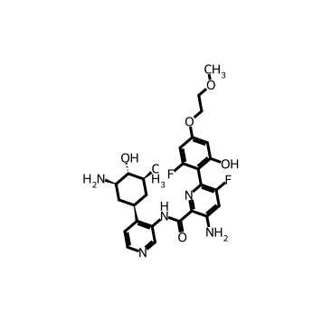 COCCOc1cc(O)c(-c2nc(C(=O)Nc3cnccc3[C@H]3C[C@@H](N)[C@H](O)[C@@H](C)C3)c(N)cc2F)c(F)c1